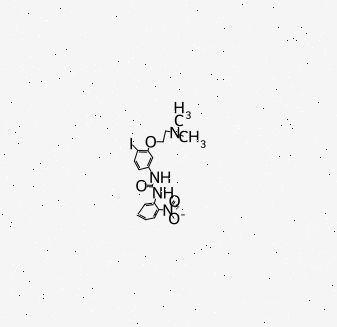 CN(C)CCOc1cc(NC(=O)Nc2ccccc2[N+](=O)[O-])ccc1I